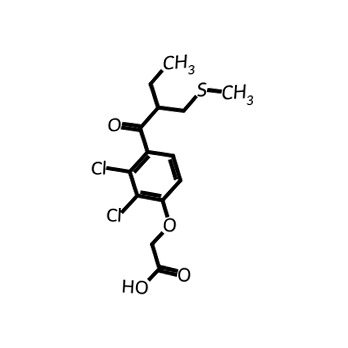 CCC(CSC)C(=O)c1ccc(OCC(=O)O)c(Cl)c1Cl